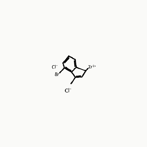 CC1=C[CH]([Zr+2])c2cccc(Br)c21.[Cl-].[Cl-]